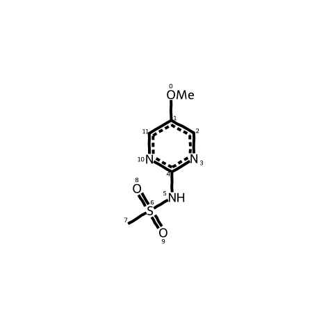 COc1cnc(NS(C)(=O)=O)nc1